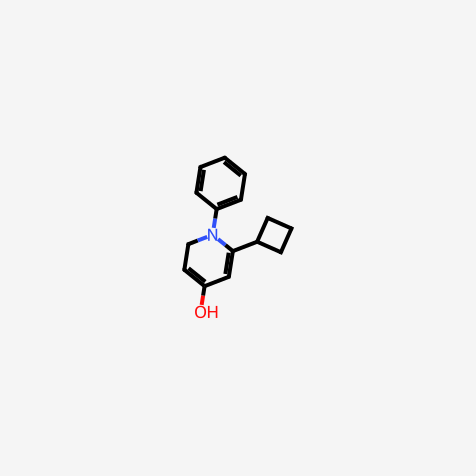 OC1=CCN(c2ccccc2)C(C2CCC2)=C1